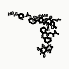 C=CCC1(CC(C)C)C(=O)NC(=O)NC1=O.CC(CN1c2ccccc2Sc2ccccc21)N(C)C.COc1cccc([C@@]2(O)CCCC[C@@H]2CN(C)C)c1.Cn1c(=O)c2c(ncn2C)n(C)c1=O.O=C(O)c1cccnc1